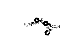 NN=CNc1cccc(C(=O)Nc2ccc(C[C@H](NC(=O)N3C=CC=CC3)C(=O)O)cc2)c1